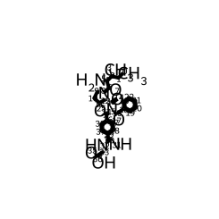 CC[C@H](C)[C@H](N)C(=O)N1CCC[C@H]1C(=O)N(C(=O)c1ccccc1)C(=O)c1ccc(C(=N)NCC(=O)O)cc1